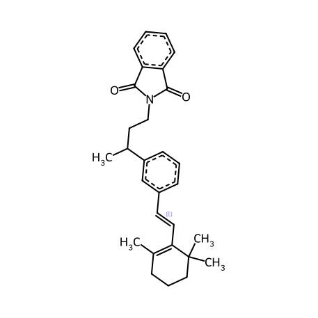 CC1=C(/C=C/c2cccc(C(C)CCN3C(=O)c4ccccc4C3=O)c2)C(C)(C)CCC1